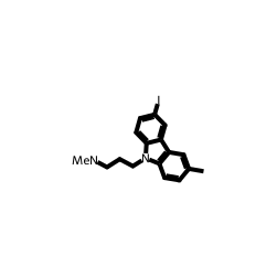 CNCCCn1c2ccc(C)cc2c2cc(I)ccc21